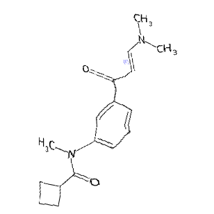 CN(C)/C=C/C(=O)c1cccc(N(C)C(=O)C2CCC2)c1